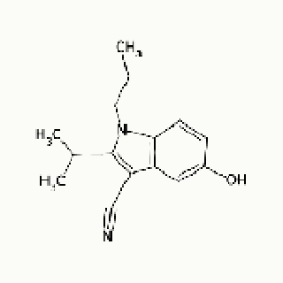 CCCn1c(C(C)C)c(C#N)c2cc(O)ccc21